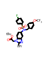 CCCc1nc2cc(N(Cc3ccc(OC(F)(F)F)cc3)S(=O)(=O)c3ccc(F)cc3)ccc2n1CC(=O)OC(C)(C)C